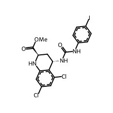 COC(=O)[C@H]1C[C@H](NC(=O)Nc2ccc(I)cc2)c2c(Cl)cc(Cl)cc2N1